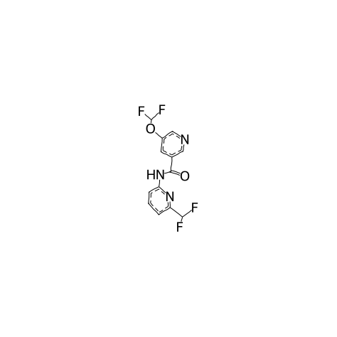 O=C(Nc1cccc(C(F)F)n1)c1cncc(OC(F)F)c1